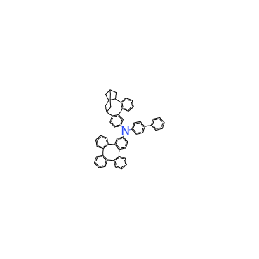 c1ccc(-c2ccc(N(c3ccc4c(c3)-c3ccccc3-c3ccccc3-c3ccccc3-4)c3ccc4c(c3)-c3ccccc3C3CC5CC4CC3C5)cc2)cc1